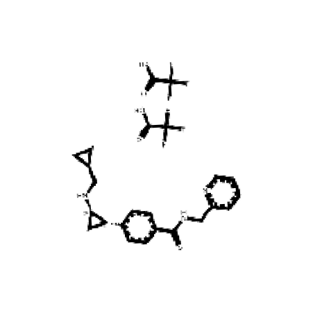 O=C(NCc1ccccn1)c1ccc([C@@H]2C[C@H]2NCC2CC2)cc1.O=C(O)C(F)(F)F.O=C(O)C(F)(F)F